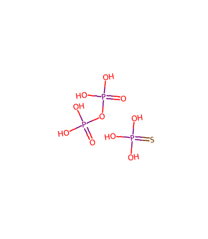 O=P(O)(O)OP(=O)(O)O.OP(O)(O)=S